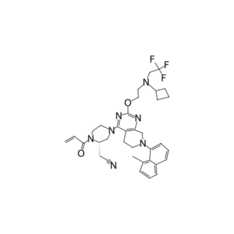 C=CC(=O)N1CCN(c2nc(OCCN(CC(F)(F)F)C3CCC3)nc3c2CCN(c2cccc4cccc(C)c24)C3)C[C@@H]1CC#N